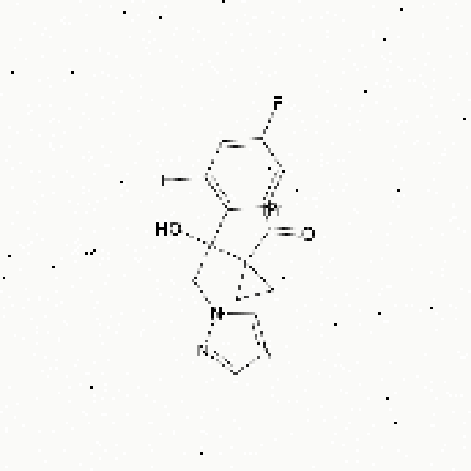 CC(C)C(=O)C1(C(O)(Cn2cncn2)c2ccc(F)cc2F)CC1